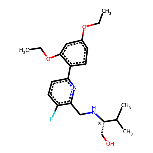 CCOc1ccc(-c2ccc(F)c(CN[C@@H](CO)C(C)C)n2)c(OCC)c1